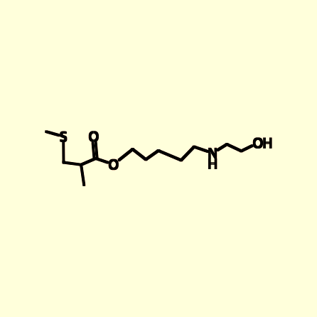 CSCC(C)C(=O)OCCCCCNCCO